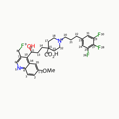 COc1ccc2ncc(CF)c([C@@H](O)CCC3(C(=O)O)CCN(CCCc4cc(F)c(F)c(F)c4)CC3)c2c1